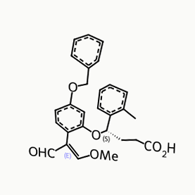 CO/C=C(/C=O)c1ccc(OCc2ccccc2)cc1O[C@@H](CCC(=O)O)c1ccccc1C